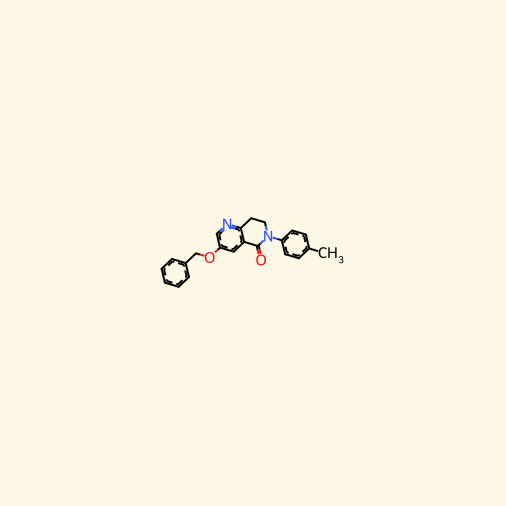 Cc1ccc(N2CCc3ncc(OCc4ccccc4)cc3C2=O)cc1